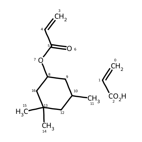 C=CC(=O)O.C=CC(=O)OC1CC(C)CC(C)(C)C1